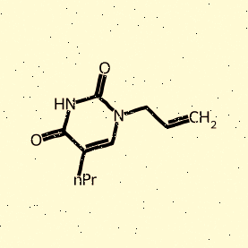 C=CCn1cc(CCC)c(=O)[nH]c1=O